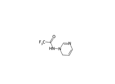 O=C(NN1C=NC=CC1)C(F)(F)F